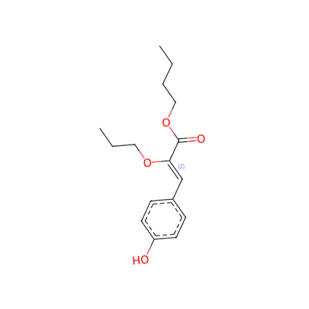 CCCCOC(=O)/C(=C/c1ccc(O)cc1)OCCC